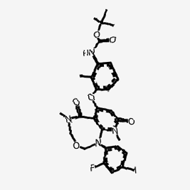 Cc1c(NC(=O)OC(C)(C)C)cccc1Oc1cc(=O)n(C)c2c1C(=O)N(C)COCN2c1ccc(I)cc1F